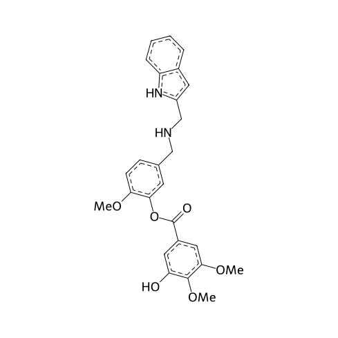 COc1ccc(CNCc2cc3ccccc3[nH]2)cc1OC(=O)c1cc(O)c(OC)c(OC)c1